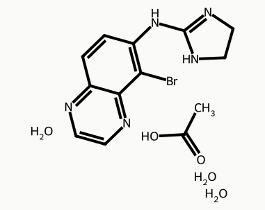 Brc1c(NC2=NCCN2)ccc2nccnc12.CC(=O)O.O.O.O